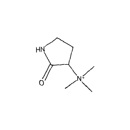 C[N+](C)(C)C1CCNC1=O